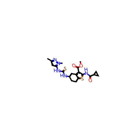 COC(=O)c1c(NC(=O)C2CC2)sc2c1CC(NC(=S)Nc1cc(C)nn1C)CC2